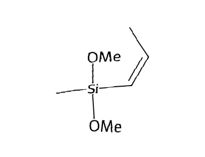 C/C=C\[Si](C)(OC)OC